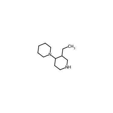 CCC1CNCCC1N1CCCCC1